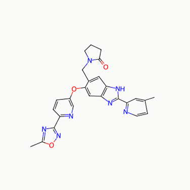 Cc1ccnc(-c2nc3cc(Oc4ccc(-c5noc(C)n5)nc4)c(CN4CCCC4=O)cc3[nH]2)c1